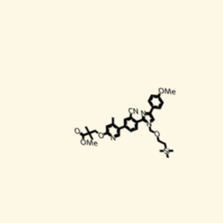 COC(=O)C(C)(C)COc1cc(C)c(-c2ccc(-c3nc(-c4ccc(OC)cc4)cn3COCC[Si](C)(C)C)c(C#N)c2)cn1